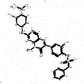 CC(C)n1c(=O)c(-c2ccc(NS(=O)(=O)Cc3ccccc3)c(F)c2)nc2cnc(N[C@@H]3CC[C@@H](N(C)C)[C@H](F)C3)nc21